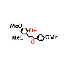 COc1ccc(C(=O)/C=C/c2c(O)cc(OC)cc2OC)cc1